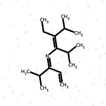 C=C/C(=N\C(=C(/CC)C(C)C)C(C)C)C(C)C